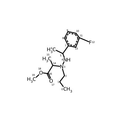 CCCN(NC(C)c1cccc(F)c1)C(C)C(=O)OC